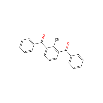 N#Cc1c(C(=O)c2ccccc2)cccc1C(=O)c1ccccc1